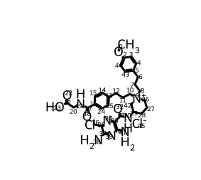 COc1ccc(CCC[N+]2(CCCc3ccc(C(=O)NCC(=O)O)cc3)CCCC(NC(=O)c3nc(Cl)c(N)nc3N)C2)cc1.[Cl-]